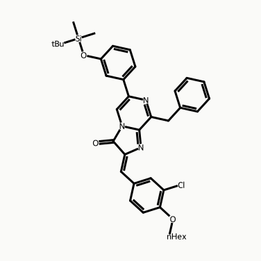 CCCCCCOc1ccc(/C=C2\N=C3C(Cc4ccccc4)=NC(c4cccc(O[Si](C)(C)C(C)(C)C)c4)=CN3C2=O)cc1Cl